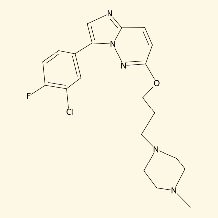 CN1CCN(CCCOc2ccc3ncc(-c4ccc(F)c(Cl)c4)n3n2)CC1